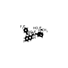 C[C@@H](OC12CC3CC(C1)CC([C@H](NC(=O)c1ccc4cc(F)ccc4c1OCc1ccc(C(F)(F)F)cc1)C(=O)O)(C3)C2)C(=O)O